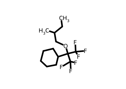 CCC(C)COC(C1CCCCC1)(C(F)(F)F)C(F)(F)F